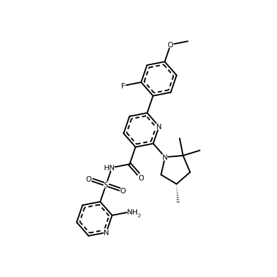 COc1ccc(-c2ccc(C(=O)NS(=O)(=O)c3cccnc3N)c(N3C[C@@H](C)CC3(C)C)n2)c(F)c1